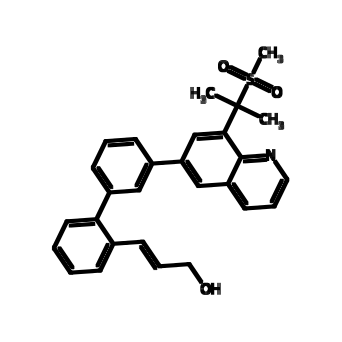 CC(C)(c1cc(-c2cccc(-c3ccccc3C=CCO)c2)cc2cccnc12)S(C)(=O)=O